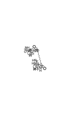 CN[C@@H](C)C(=O)N[C@H]1CCS[C@H]2CC(C)(C)[C@@H](C(=O)N[C@H]3c4ccccc4C[C@H]3OCCCCCCCCCCO[C@@H]3Cc4ccccc4[C@@H]3NC(=O)[C@H]3N4C(=O)[C@@H](NC(=O)[C@H](C)N)CCS[C@H]4CC3(C)C)N2C1=O